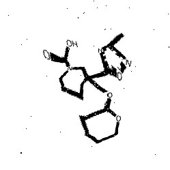 Cc1noc(C2(OC3CCCCO3)CCCN(C(=O)O)C2)n1